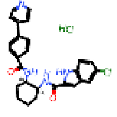 Cl.O=C(N[C@@H]1CCCC[C@@H]1NC(=O)c1cc2cc(Cl)ccc2[nH]1)c1ccc(-c2ccncc2)cc1